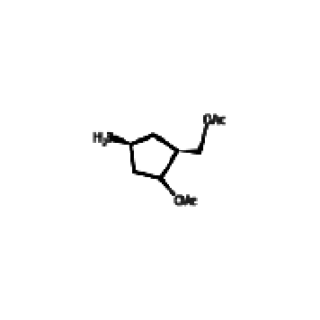 B[C@@H]1CC(OC(C)=O)[C@H](COC(C)=O)C1